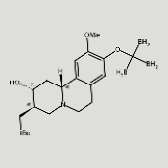 BC(B)(B)Oc1cc2c(cc1OC)[C@H]1C[C@@H](O)[C@H](CC(C)(C)C)CN1CC2